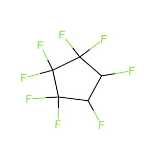 FC1C(F)C(F)(F)C(F)(F)C1(F)F